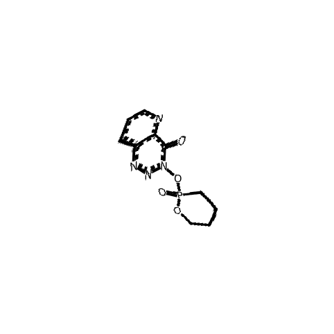 O=c1c2ncccc2nnn1OP1(=O)CCCCO1